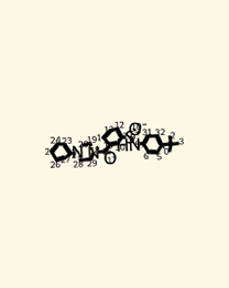 CC(C)(C)c1ccc(N[S+]([O-])c2cccc(C(=O)N3CCN(c4ccccc4)CC3)c2)cc1